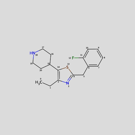 CCc1nc(Cc2ccccc2F)sc1C1CCNCC1